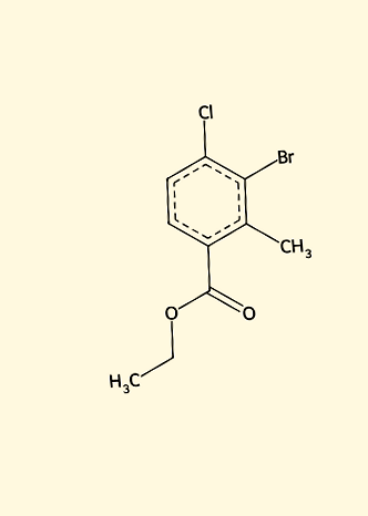 CCOC(=O)c1ccc(Cl)c(Br)c1C